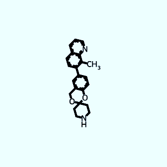 Cc1c(-c2ccc3c(c2)COC2(CCNCC2)O3)ccc2cccnc12